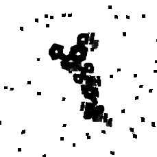 Cc1ccc(NC(=O)C(=O)Nc2nc(CNS(C)(=O)=O)cs2)c(C(=O)C2CCCC2)c1